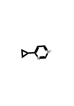 C1=NC(C2CC2)=CC=[N+]1